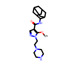 CCCOc1c(C(=O)NC2C3CC4CC(C3)CC2C4)cnn1CCN1CCNCC1